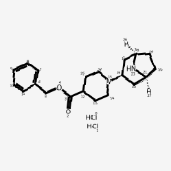 Cl.Cl.O=C(OCc1ccccc1)C1CCN([C@H]2C[C@H]3CC[C@@H](C2)N3)CC1